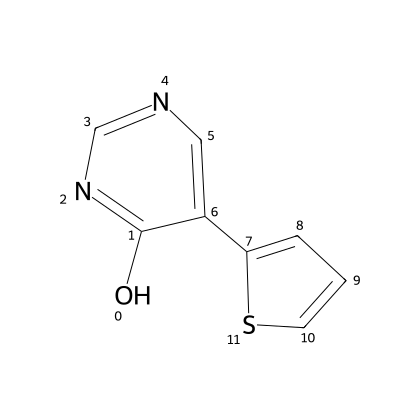 Oc1ncncc1-c1cccs1